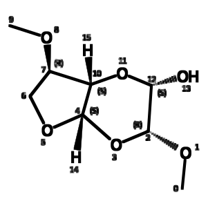 CO[C@@H]1O[C@@H]2OC[C@@H](OC)[C@@H]2O[C@@H]1O